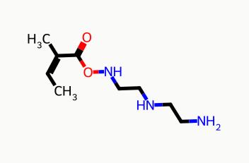 CC=C(C)C(=O)ONCCNCCN